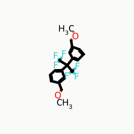 COCc1cccc(C(c2cccc(COC)c2)(C(F)(F)F)C(F)(F)F)c1